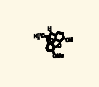 COc1ccc2c3c1OC1[C@@H](O)C=CC4[C@@H](C2)N([13CH3])CC[C@@]341